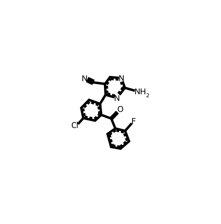 N#Cc1cnc(N)nc1-c1ccc(Cl)cc1C(=O)c1ccccc1F